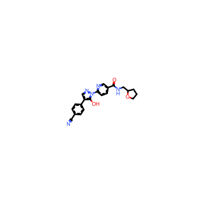 N#Cc1ccc(-c2cnn(-c3ccc(C(=O)NCC4CCCO4)cn3)c2O)cc1